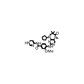 COc1cc(C(=O)NC2=CCNC=N2)ccc1Nc1ncc2c(n1)N(C1CCCC1)CC(C)(C)C(=O)N2C